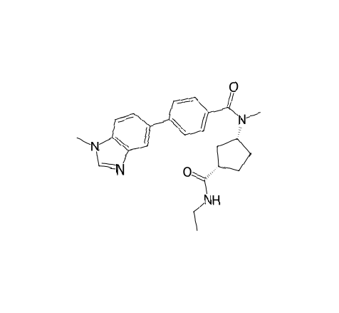 CCNC(=O)[C@H]1CC[C@@H](N(C)C(=O)c2ccc(-c3ccc4c(c3)ncn4C)cc2)C1